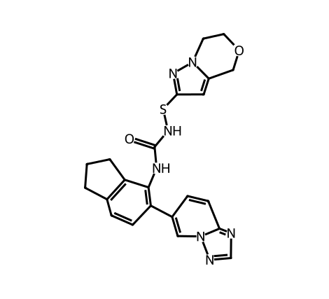 O=C(NSc1cc2n(n1)CCOC2)Nc1c(-c2ccc3ncnn3c2)ccc2c1CCC2